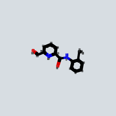 Cc1ccccc1NC(=O)c1cccc(C=O)n1